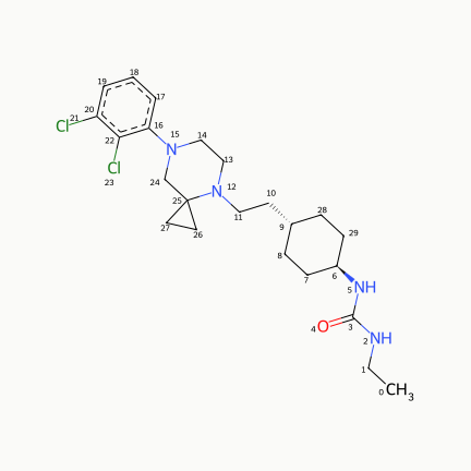 CCNC(=O)N[C@H]1CC[C@H](CCN2CCN(c3cccc(Cl)c3Cl)CC23CC3)CC1